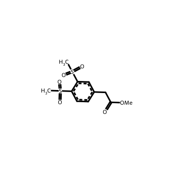 COC(=O)Cc1ccc(S(C)(=O)=O)c(S(C)(=O)=O)c1